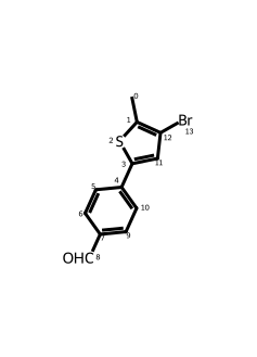 Cc1sc(-c2ccc(C=O)cc2)cc1Br